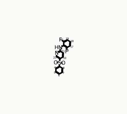 O=S(=O)(c1ccccc1)c1ccc(Nc2c(F)cccc2F)nc1